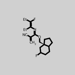 C=C(C#N)/C(=N\C(CC)=C(/F)CC)OC[C@@]12CCCC1CCC(F)C2